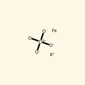 [Fe].[K+].[O-][Cl+3]([O-])([O-])[O-]